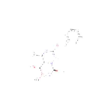 CC(C)(C)OC(=O)C[C@H](NC(=NNC(N)=O)OCc1ccccc1)C(=O)O